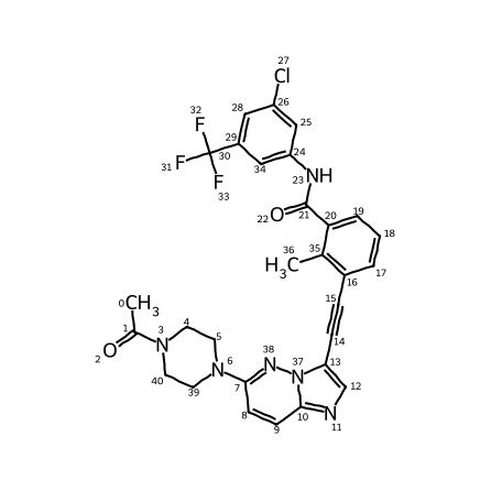 CC(=O)N1CCN(c2ccc3ncc(C#Cc4cccc(C(=O)Nc5cc(Cl)cc(C(F)(F)F)c5)c4C)n3n2)CC1